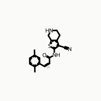 Cc1ccc(C)c(/C=C\C(=O)Nc2sc3c(c2C#N)CCNC3)c1